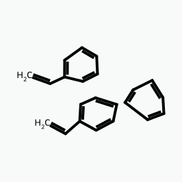 C=Cc1ccccc1.C=Cc1ccccc1.c1ccccc1